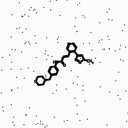 Cn1cc(-c2ccncc2/C=C/C(=O)Nc2ccc(CN3CCOCC3)cc2)nn1